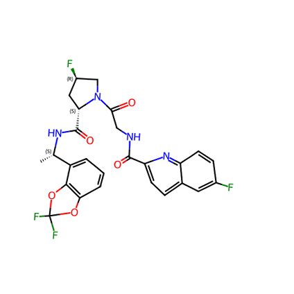 C[C@H](NC(=O)[C@@H]1C[C@@H](F)CN1C(=O)CNC(=O)c1ccc2cc(F)ccc2n1)c1cccc2c1OC(F)(F)O2